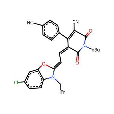 CCCCN1C(=O)C(C#N)=C(c2ccc(C#N)cc2)/C(=C/C=C2\Oc3cc(Cl)ccc3N2CC(C)C)C1=O